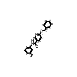 O=C(Nc1cccc(F)c1)c1ccc(OCc2ccccc2)nc1